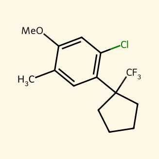 COc1cc(Cl)c(C2(C(F)(F)F)CCCC2)cc1C